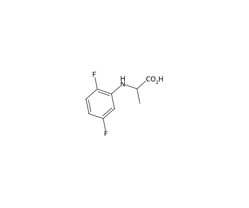 CC(Nc1cc(F)ccc1F)C(=O)O